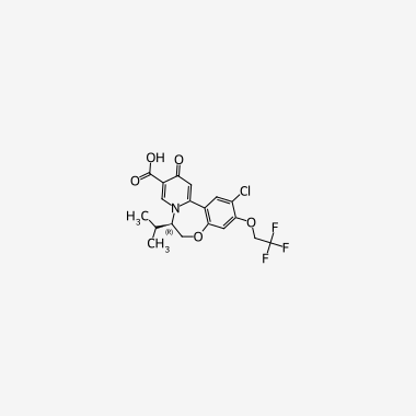 CC(C)[C@@H]1COc2cc(OCC(F)(F)F)c(Cl)cc2-c2cc(=O)c(C(=O)O)cn21